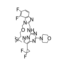 C[Si](C)(C)CCOCn1c(CNc2nc(N3CCOCC3)nc3c(C4CC4(F)F)cnn23)nc2ccc(F)c(F)c21